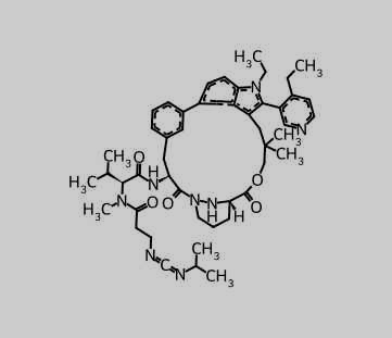 CCc1ccncc1-c1c2c3cc(ccc3n1CC)-c1cccc(c1)C[C@H](NC(=O)[C@H](C(C)C)N(C)C(=O)CCN=C=NC(C)C)C(=O)N1CCC[C@H](N1)C(=O)OCC(C)(C)C2